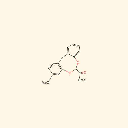 COC(=O)C1Oc2ccccc2Cc2ccc(OC)cc2O1